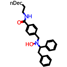 CCCCCCCCCCCCNC(=O)c1ccc(CN(O)C(Cc2ccccc2)c2ccccc2)cc1